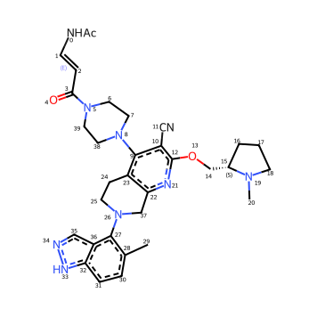 CC(=O)N/C=C/C(=O)N1CCN(c2c(C#N)c(OC[C@@H]3CCCN3C)nc3c2CCN(c2c(C)ccc4[nH]ncc24)C3)CC1